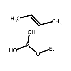 CC=CC.CCOP(O)O